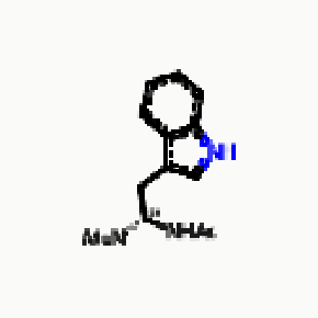 CN[C@H](Cc1c[nH]c2ccccc12)NC(C)=O